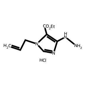 C=CCn1cnc(NN)c1C(=O)OCC.Cl